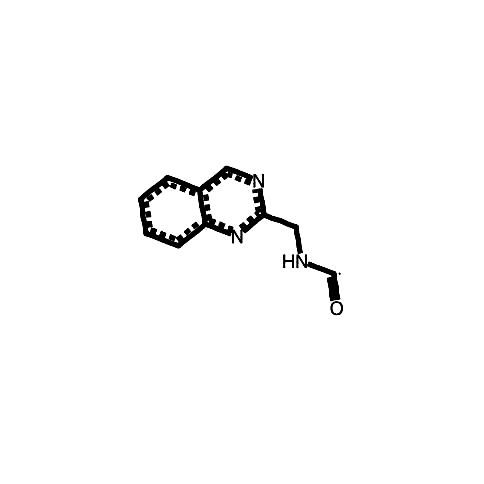 O=[C]NCc1ncc2ccccc2n1